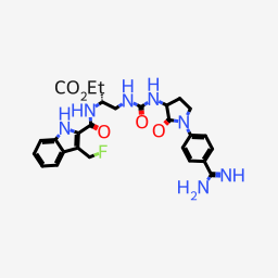 CCOC(=O)[C@H](CNC(=O)NC1CCN(c2ccc(C(=N)N)cc2)C1=O)NC(=O)c1[nH]c2ccccc2c1CF